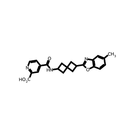 Cc1ccc2oc(C3CC4(CC(NC(=O)c5ccnc(C(=O)O)c5)C4)C3)nc2c1